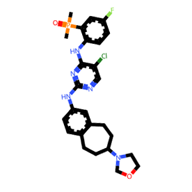 CP(C)(=O)c1cc(F)ccc1Nc1nc(Nc2ccc3c(c2)CCC(N2CCOC2)CC3)ncc1Cl